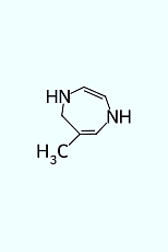 CC1=CNC=CNC1